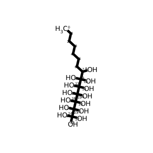 CCCCCCCC(O)C(O)(O)C(O)(O)C(O)(O)C(O)(O)C(O)(O)C(O)(O)O